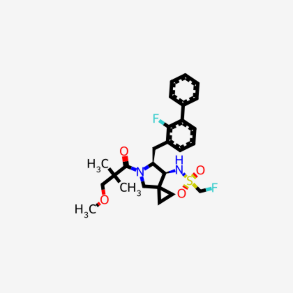 COCC(C)(C)C(=O)N1CC2(CC2)[C@H](NS(=O)(=O)CF)[C@@H]1Cc1cccc(-c2ccccc2)c1F